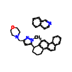 Cn1nc(CN2CCOCC2)cc1C1CCCc2c1ccc1c2ccc2ccccc21.c1ccc2cnccc2c1